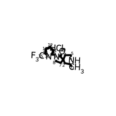 CC1CC2(CCN1)CCN(c1cccc(C(F)(F)F)n1)C2=O.Cl